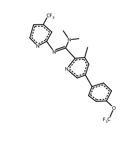 Cc1cc(-c2ccc(OC(F)(F)F)cc2)cnc1/C(=N/c1cc(C(F)(F)F)ccn1)N(C)C